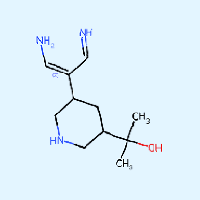 CC(C)(O)C1CNCC(/C(C=N)=C/N)C1